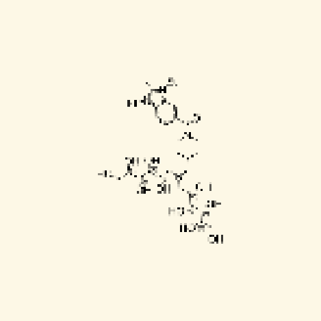 CCn1c(C)[n+](CC)c2ccc(C(=O)N3CCC(CN(C[C@H](O)[C@@H](O)[C@H](O)[C@H](O)CO)C[C@H](O)[C@@H](O)[C@H](O)[C@H](O)CO)CC3)cc21